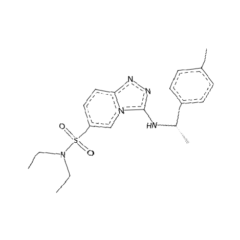 CCN(CC)S(=O)(=O)c1ccc2nnc(N[C@@H](C)c3ccc(C)cc3)n2c1